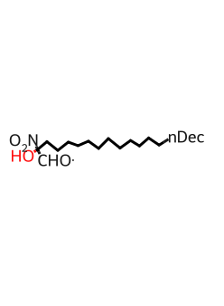 CCCCCCCCCCCCCCCCCCCCCCC(O)([C]=O)[N+](=O)[O-]